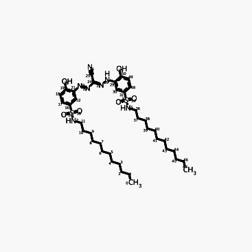 CCCCCCCCCCCCNS(=O)(=O)c1ccc(O)c(/N=N/C(C#N)=N/Nc2cc(S(=O)(=O)NCCCCCCCCCCCC)ccc2O)c1